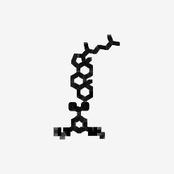 CC(C)CCCC(C)C1CCC2C3CC=C4CC(OC(=O)c5cc(N)cc(N)c5)CCC4(C)C3CCC12C